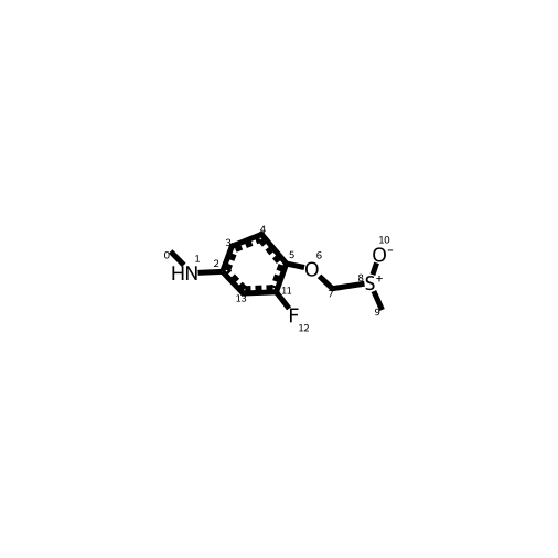 CNc1ccc(OC[S+](C)[O-])c(F)c1